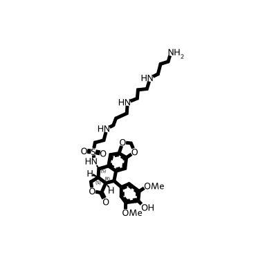 COc1cc(C2c3cc4c(cc3[C@@H](NS(=O)(=O)CCNCCCNCCCNCCCN)[C@H]3COC(=O)[C@H]23)OCO4)cc(OC)c1O